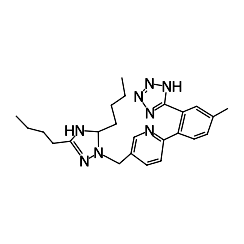 CCCCC1=NN(Cc2ccc(-c3ccc(C)cc3-c3nnn[nH]3)nc2)C(CCCC)N1